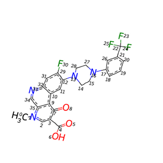 Cn1cc(C(=O)O)c(=O)c2c3cc(N4CCN(c5cccc(C(F)(F)F)c5)CC4)c(F)cc3ncc21